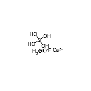 O.O[Si](O)(O)O.[Ca+2].[F-].[OH-]